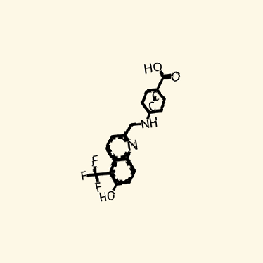 O=C(O)C12CCC(NCc3ccc4c(C(F)(F)F)c(O)ccc4n3)(CC1)CC2